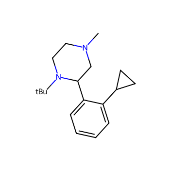 CN1CCN(C(C)(C)C)C(c2ccccc2C2CC2)C1